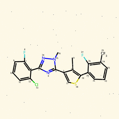 Cc1c(-c2nc(-c3c(F)cccc3Cl)nn2C)csc1-c1cccc(C(F)(F)F)c1F